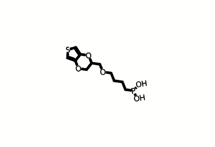 OP(O)CCCCOCC1COc2cscc2O1